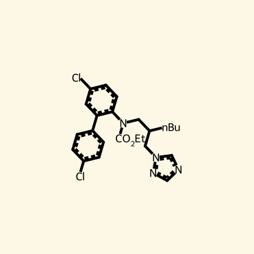 CCCCC(CN(C(=O)OCC)c1ccc(Cl)cc1-c1ccc(Cl)cc1)Cn1cncn1